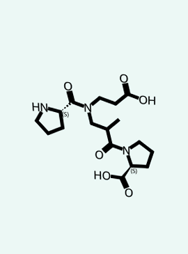 CC(CN(CCC(=O)O)C(=O)[C@@H]1CCCN1)C(=O)N1CCC[C@H]1C(=O)O